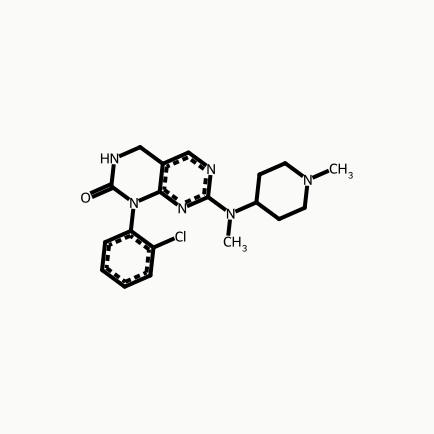 CN1CCC(N(C)c2ncc3c(n2)N(c2ccccc2Cl)C(=O)NC3)CC1